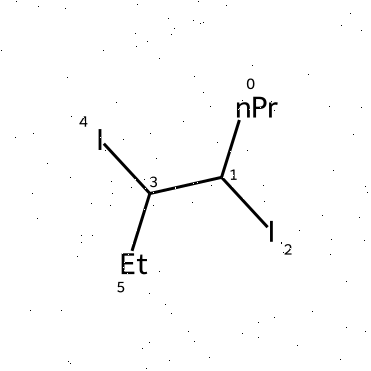 CCCC(I)C(I)CC